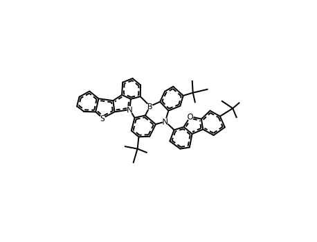 CC(C)(C)c1ccc2c(c1)N(c1cccc3c1oc1cc(C(C)(C)C)ccc13)c1cc(C(C)(C)C)cc3c1B2c1cccc2c4c5ccccc5sc4n-3c12